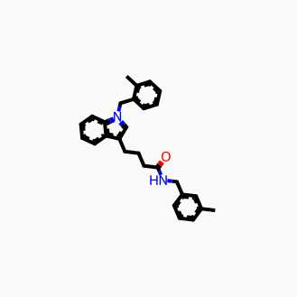 Cc1cccc(CNC(=O)CCCc2cn(Cc3ccccc3C)c3ccccc23)c1